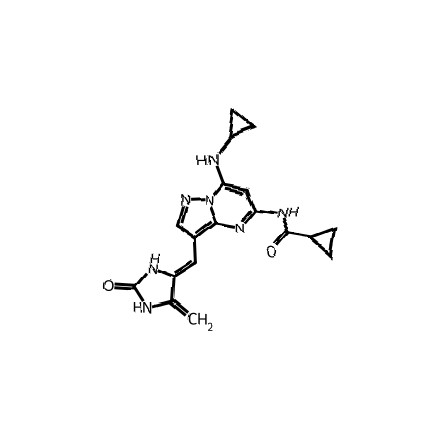 C=c1[nH]c(=O)[nH]/c1=C\c1cnn2c(NC3CC3)cc(NC(=O)C3CC3)nc12